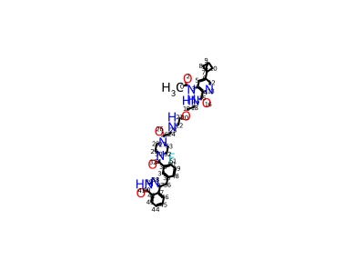 CC(=O)Nc1cc(C23CC(C2)C3)cnc1C(=O)NCCOCCNCC(=O)N1CCN(C(=O)c2cc(Cc3n[nH]c(=O)c4ccccc34)ccc2F)CC1